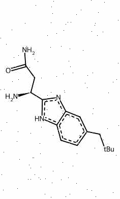 CC(C)(C)Cc1ccc2[nH]c([C@@H](N)CC(N)=O)nc2c1